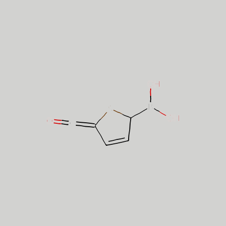 O=C=C1C=CC(B(O)O)S1